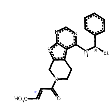 CC[C@@H](Nc1ncnc2sc3c(c12)CCN(C(=O)/C=C/C(=O)O)C3)c1ccccc1